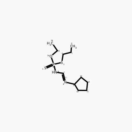 CCCSP(=S)(N/C=N/C1CCCC1)OCC